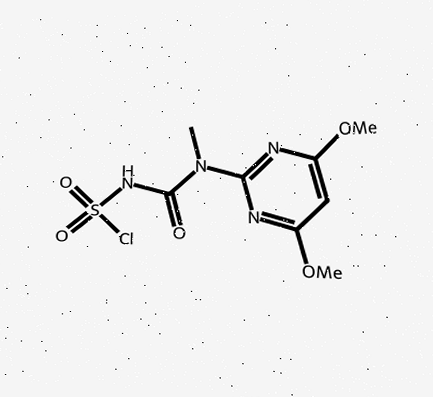 COc1cc(OC)nc(N(C)C(=O)NS(=O)(=O)Cl)n1